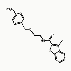 Cc1c(C(=O)NCCOCc2ccc(C(=O)O)cc2)oc2ccccc12